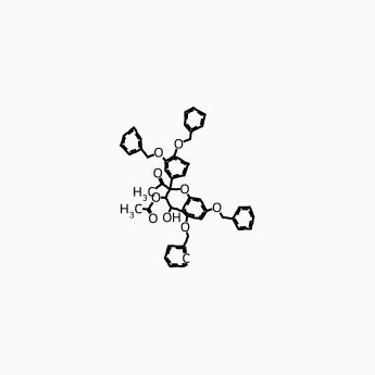 CC(=O)OC1C(O)c2c(OCc3ccccc3)cc(OCc3ccccc3)cc2OC1(C(C)=O)c1ccc(OCc2ccccc2)c(OCc2ccccc2)c1